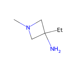 CCC1(N)CN(C)C1